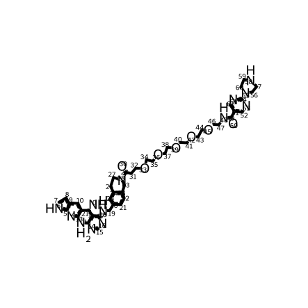 N=C(c1cnc2[nH]ccc2c1)c1c(N)ncnc1NCc1ccc2c(c1)CCN(C(=O)CCOCCOCCOCCOCCOCCNC(=O)c1cnc(N3CCNCC3)nc1)C2